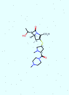 CC(O)[C@H]1C(=O)N2C(C(=O)O)=C(S[C@H]3C[C@@H](C(=O)N4CCN(C)CC4)N(C)C3)[C@H](C)[C@H]12